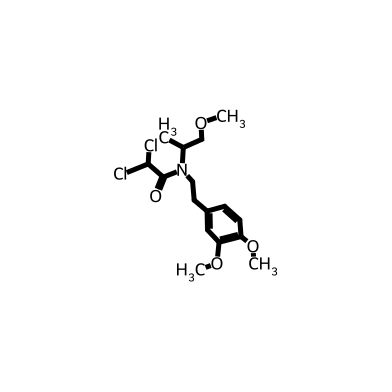 COCC(C)N(CCc1ccc(OC)c(OC)c1)C(=O)C(Cl)Cl